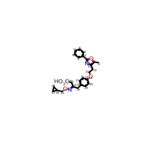 Cc1oc(-c2ccccc2)nc1CCOc1ccc(C/C(CC(=O)O)=N/OCC2CC2)cc1